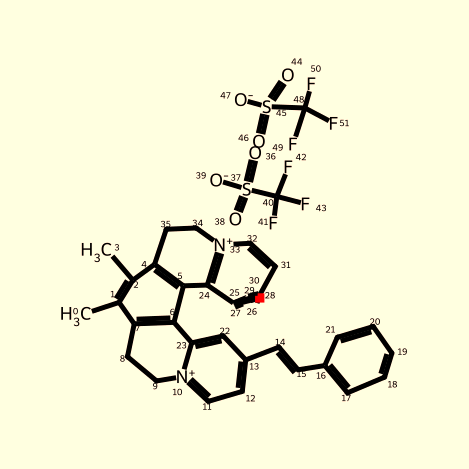 Cc1c(C)c2c(c3c1CC[n+]1ccc(/C=C/c4ccccc4)cc1-3)-c1c3ccccc3cc[n+]1CC2.O=S(=O)([O-])C(F)(F)F.O=S(=O)([O-])C(F)(F)F